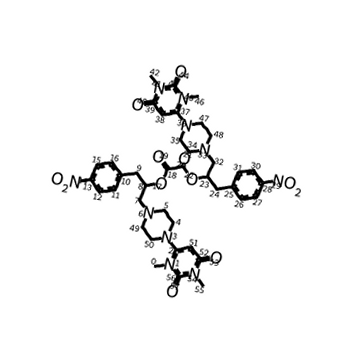 Cn1c(N2CCN(CC(Cc3ccc([N+](=O)[O-])cc3)OC(=O)C(=O)OC(Cc3ccc([N+](=O)[O-])cc3)CN3CCN(c4cc(=O)n(C)c(=O)n4C)CC3)CC2)cc(=O)n(C)c1=O